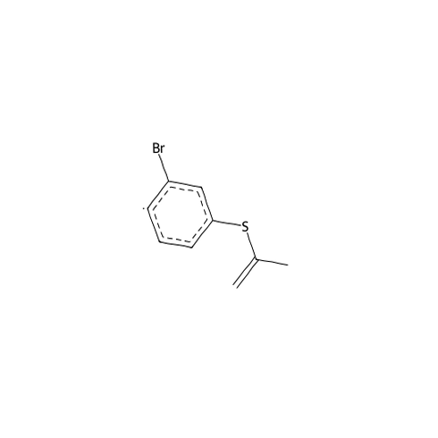 C=C(C)Sc1cc[c]c(Br)c1